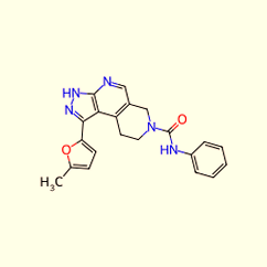 Cc1ccc(-c2n[nH]c3ncc4c(c23)CCN(C(=O)Nc2ccccc2)C4)o1